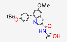 COc1cc(-c2ccc(OC(C)(C)C)cc2)c2ncc(C(=O)N[C@H](C)CO)cc2c1